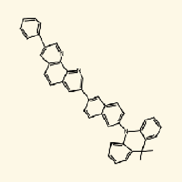 CC1(C)c2ccccc2N(c2ccc3cc(-c4cnc5c(ccc6cc(-c7ccccc7)cnc65)c4)ccc3c2)c2ccccc21